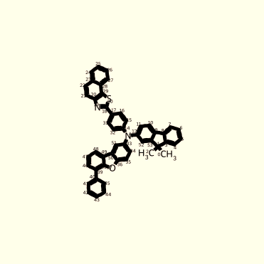 CC1(C)c2ccccc2-c2ccc(N(c3ccc(-c4nc5ccc6ccccc6c5s4)cc3)c3ccc4oc5c(-c6ccccc6)cccc5c4c3)cc21